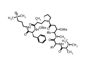 CC[C@H](C)C([C@@H](CC(=O)N1CCC[C@H]1[C@H](OC)[C@@H](C)C(=O)N[C@@H](Cc1ccccc1)C(=O)NCCC[SH](C)(C)=O)OC)N(C)C(=O)C(NC(=O)[C@H](C)N(C)C)C(C)C